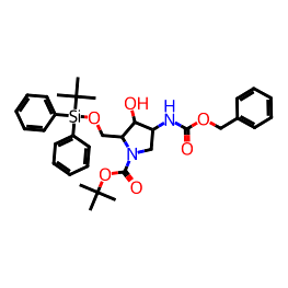 CC(C)(C)OC(=O)N1CC(NC(=O)OCc2ccccc2)C(O)C1CO[Si](c1ccccc1)(c1ccccc1)C(C)(C)C